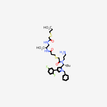 CC(C)(C)[C@H](c1cc(-c2cc(F)ccc2F)cn1Cc1ccccc1)N(CCCN)C(=O)CSCCC(=O)N[C@H](CNC(=O)CSCCC(=O)O)C(=O)O